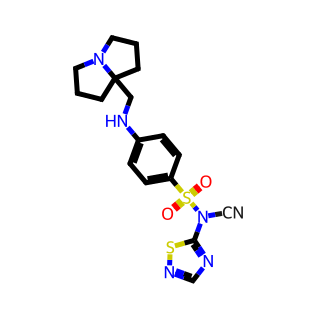 N#CN(c1ncns1)S(=O)(=O)c1ccc(NCC23CCCN2CCC3)cc1